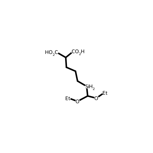 CCOC(OCC)[SiH2]CCCC(C(=O)O)C(=O)O